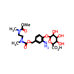 COC(=O)N(C)CCN(C)C(=O)OCc1ccc(OC2OC(C(=O)O)C(O)C(O)C2O)c(N)c1